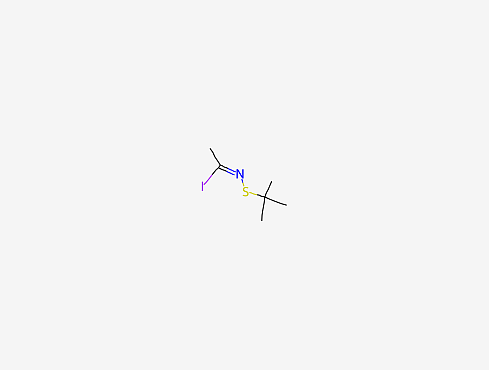 C/C(I)=N/SC(C)(C)C